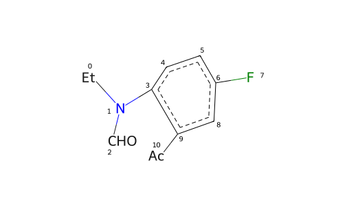 CCN(C=O)c1ccc(F)cc1C(C)=O